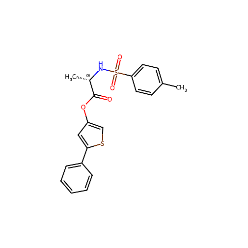 Cc1ccc(S(=O)(=O)N[C@@H](C)C(=O)Oc2csc(-c3ccccc3)c2)cc1